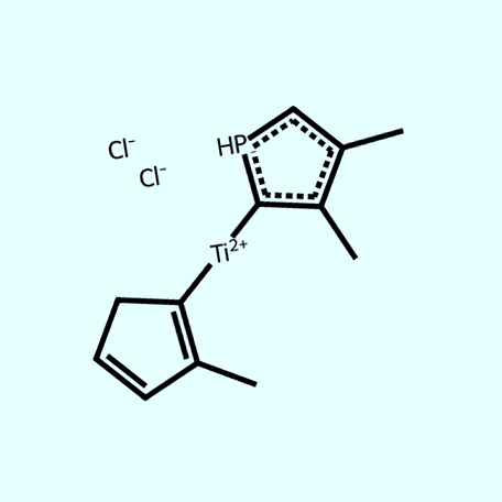 CC1=[C]([Ti+2][c]2[pH]cc(C)c2C)CC=C1.[Cl-].[Cl-]